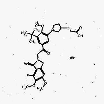 Br.COc1cc2c(c(F)c1OC)C(=N)N(CC(=O)c1cc(N3CCC(OCC(=O)O)C3)c(OC)c(C(C)(C)C)c1)C2